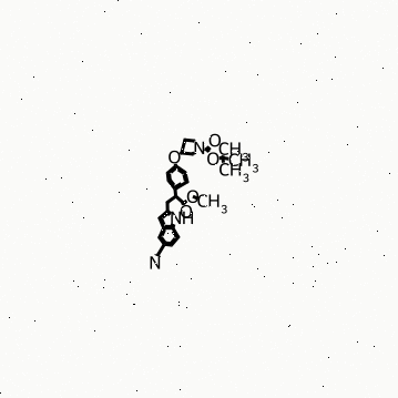 COC(=O)C(Cc1cc2cc(C#N)ccc2[nH]1)c1ccc(O[C@H]2CCN(C(=O)OC(C)(C)C)C2)cc1